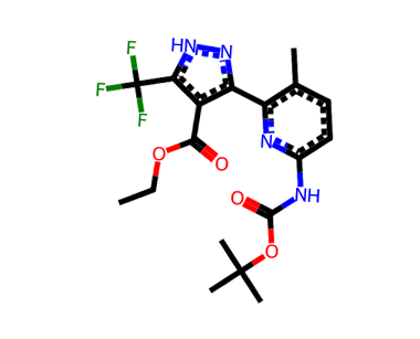 CCOC(=O)c1c(-c2nc(NC(=O)OC(C)(C)C)ccc2C)n[nH]c1C(F)(F)F